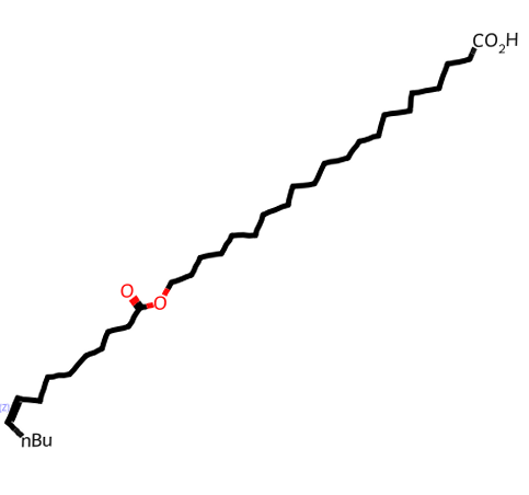 CCCC/C=C\CCCCCCCC(=O)OCCCCCCCCCCCCCCCCCCCCC(=O)O